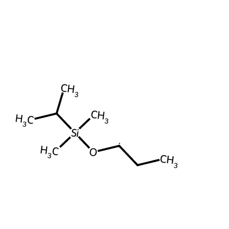 CC[CH]O[Si](C)(C)C(C)C